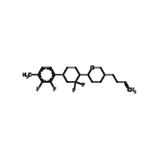 C=CCCC1CCC(C2CCC(c3ccc(C)c(F)c3F)CC2(F)F)OC1